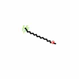 CCOCCCCCCCCCCCCCCCC(F)(F)C(F)(F)F